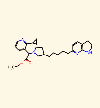 CCOC(=O)C(c1cccnc1C1CC1)N1CC[C@@H](CCCCCc2ccc3c(n2)NCCC3)C1